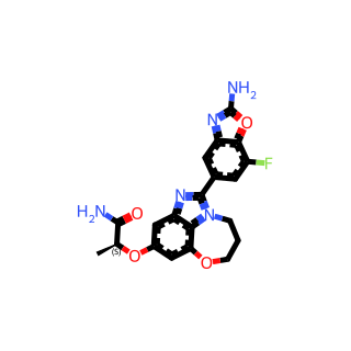 C[C@H](Oc1cc2c3c(c1)nc(-c1cc(F)c4oc(N)nc4c1)n3CCCO2)C(N)=O